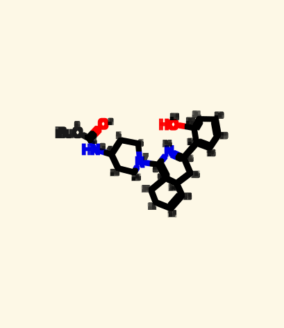 CC(C)COC(=O)NC1CCN(C2=C3CCC=CC3CC(c3ccccc3O)=N2)CC1